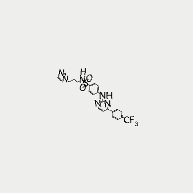 O=S(=O)(NCCCn1ccnc1)c1ccc(Nc2nccc(-c3ccc(C(F)(F)F)cc3)n2)cc1